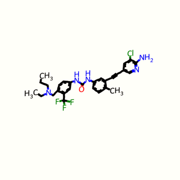 CCCN(CC)Cc1ccc(NC(=O)Nc2ccc(C)c(C#Cc3cnc(N)c(Cl)c3)c2)cc1C(F)(F)F